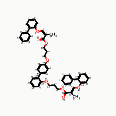 CC(=COc1ccccc1-c1ccccc1)C(=O)OCCCOc1ccc(-c2ccccc2OCCCOC(=O)C(C)=COc2ccccc2-c2ccccc2)cc1